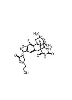 C[C@@H]1CN2c3c(cc4c(N5C[C@@H](CCO)OC5=O)noc4c3F)CC3(C(=O)NC(=O)NC3=O)[C@H]2[C@H](C)O1